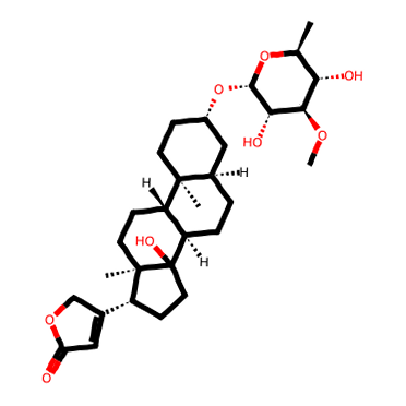 CO[C@H]1[C@H](O)[C@H](O[C@H]2CC[C@@]3(C)[C@H](CC[C@@H]4[C@@H]3CC[C@]3(C)[C@@H](C5=CC(=O)OC5)CCC43O)C2)O[C@@H](C)[C@@H]1O